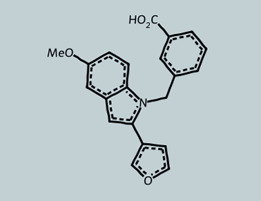 COc1ccc2c(c1)cc(-c1ccoc1)n2Cc1cccc(C(=O)O)c1